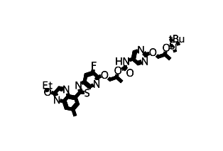 CCOc1cnc2c(-c3nc4cc(F)c(OCC(C)OC(=O)Nc5cnc(OCC(C)O[Si](C)(C)C(C)(C)C)nc5)nc4s3)cc(C)cc2n1